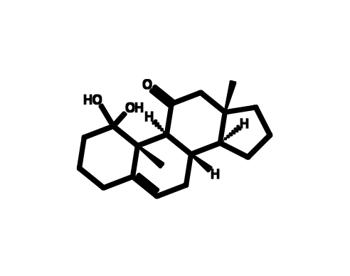 C[C@@]12CCC[C@H]1[C@@H]1CC=C3CCCC(O)(O)[C@]3(C)[C@H]1C(=O)C2